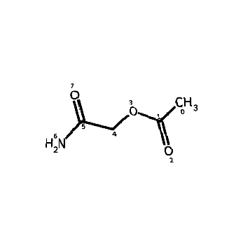 CC(=O)OCC(N)=O